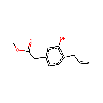 C=CCc1ccc(CC(=O)OC)cc1O